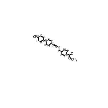 COC(=O)c1ccc(CCC#Cc2ccc(-c3ccc(Cl)cc3)cn2)nn1